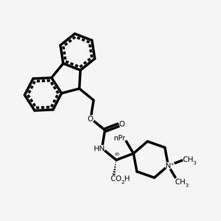 CCCC1([C@@H](NC(=O)OCC2c3ccccc3-c3ccccc32)C(=O)O)CC[N+](C)(C)CC1